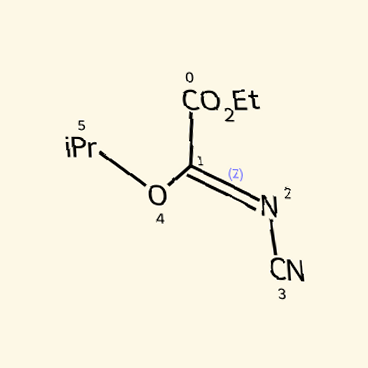 CCOC(=O)/C(=N/C#N)OC(C)C